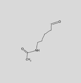 CC(=O)NCCCC[C]=O